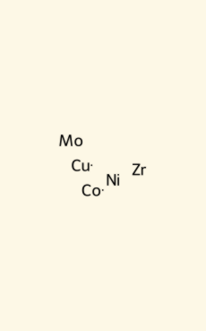 [Co].[Cu].[Mo].[Ni].[Zr]